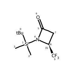 CC(C)(C)[Si](C)(C)N1C(=O)C[C@H]1C(F)(F)F